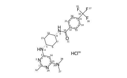 Cc1nc(N[C@H]2CC[C@@H](NC(=O)c3ccc(C(F)(F)F)cc3)CC2)cc(N(C)C)n1.Cl